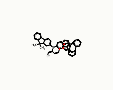 CC/C=C(\C=C/Cc1ccc2c(c1)-c1c3cccc1-c1cccc-2c1-c1ccccc1-3)N(C1=CC=C2c3ccccc3C(C)(C)C2C1)c1ccccc1